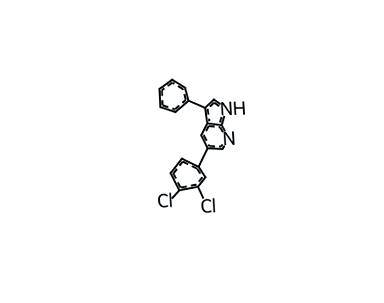 Clc1ccc(-c2cnc3[nH]cc(-c4ccccc4)c3c2)cc1Cl